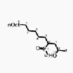 CCCCCCCCCCCCCC(CC(C)O)[P](C)=O